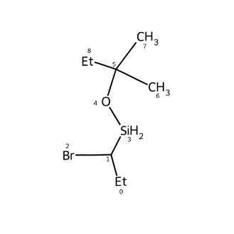 CCC(Br)[SiH2]OC(C)(C)CC